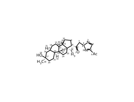 CC(=O)c1cnn(CC(=O)[C@H]2CC[C@H]3[C@@H]4CC[C@@H]5C[C@](C)(O)CC[C@@H]5[C@H]4CC[C@]23C)n1